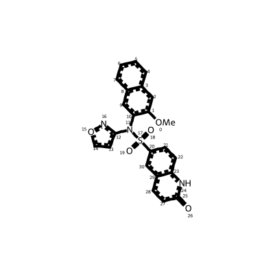 COc1cc2ccccc2cc1N(c1ccon1)S(=O)(=O)c1ccc2[nH]c(=O)ccc2c1